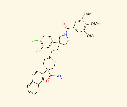 COc1cc(C(=O)N2CCC(CCN3CCC(C(N)=O)(c4ccc5ccccc5c4)CC3)(c3ccc(Cl)c(Cl)c3)C2)cc(OC)c1OC